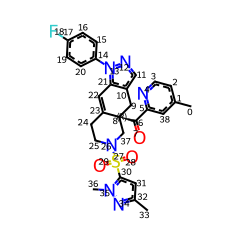 Cc1ccnc(C(=O)[C@]23Cc4cnn(-c5ccc(F)cc5)c4C=C2CCN(S(=O)(=O)c2cc(C)nn2C)C3)c1